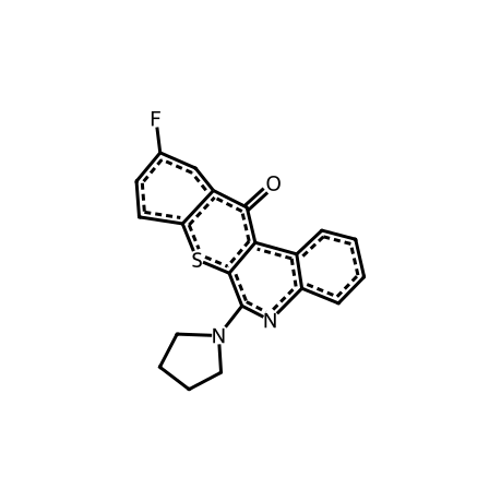 O=c1c2cc(F)ccc2sc2c(N3CCCC3)nc3ccccc3c12